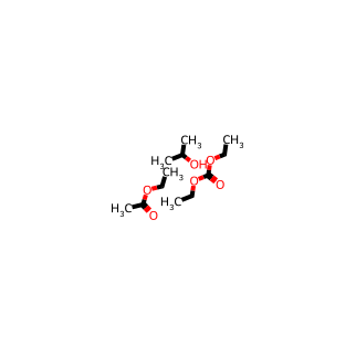 CC(C)O.CCOC(=O)OCC.CCOC(C)=O